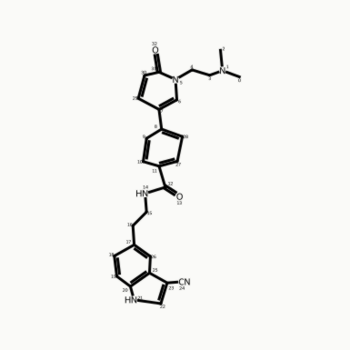 CN(C)CCn1cc(-c2ccc(C(=O)NCCc3ccc4[nH]cc(C#N)c4c3)cc2)ccc1=O